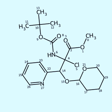 COC(=O)C(Cl)(NC(=O)OC(C)(C)C)C(OC1CCCCO1)c1ccccn1